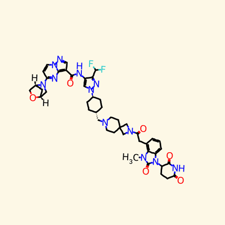 Cn1c(=O)n(C2CCC(=O)NC2=O)c2cccc(CC(=O)N3CC4(CCN(C[C@H]5CC[C@H](n6cc(NC(=O)c7cnn8ccc(N9C[C@H]%10C[C@@H]9CO%10)nc78)c(C(F)F)n6)CC5)CC4)C3)c21